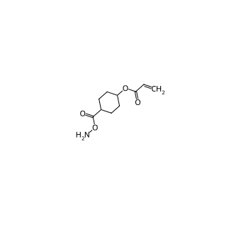 C=CC(=O)OC1CCC(C(=O)ON)CC1